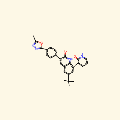 Cc1nnc(-c2ccc(-c3cc4cc(C(C)(C)C)cc(-c5ccc[nH]c5=O)c4[nH]c3=O)cc2)o1